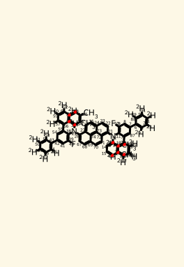 [2H]c1c([2H])c([2H])c(-c2cc(F)c(N(c3cccc(C)c3C)c3ccc4ccc5c(N(c6cccc(C)c6C)c6c(F)cc(-c7c([2H])c([2H])c([2H])c([2H])c7[2H])cc6-c6c([2H])c([2H])c([2H])c([2H])c6[2H])ccc6ccc3c4c65)c(-c3c([2H])c([2H])c([2H])c([2H])c3[2H])c2)c([2H])c1[2H]